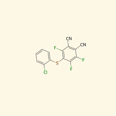 N#Cc1c(F)c(F)c(Sc2ccccc2Cl)c(F)c1C#N